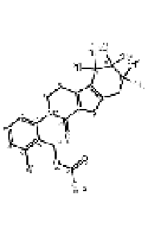 [2H]C1([2H])Cc2sc3c(c2C([2H])([2H])C1([2H])[2H])CCN(c1cccc(Br)c1COC(C)=O)C3=O